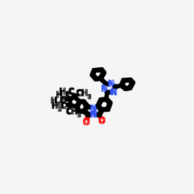 CC1(C)c2cc3c(=O)n4c(=O)c5ccc(-c6nc(-c7ccccc7)nc(-c7ccccc7)n6)cc5n4c3cc2C(C)(C)C1(C)C